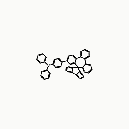 c1ccc(N(c2ccccc2)c2ccc(-c3ccc4c(c3)C3(c5ccccc5-c5ccccc5-4)c4ccccc4-c4ccccc43)cc2)cc1